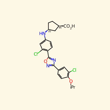 CC(C)Oc1ccc(-c2noc(-c3ccc(N[C@H]4CC[C@@H](C(=O)O)C4)cc3Cl)n2)cc1Cl